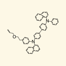 C=CCOCCc1ccc(N(c2ccc(-c3ccc(N(c4ccccc4)c4cccc5ccccc45)cc3)cc2)c2cccc3ccccc23)cc1